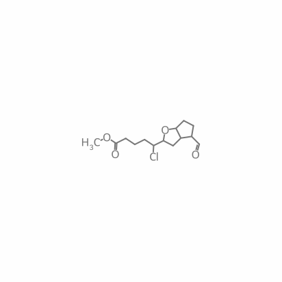 COC(=O)CCCC(Cl)C1CC2C(C=O)CCC2O1